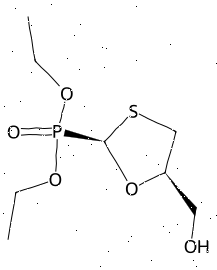 CCOP(=O)(OCC)[C@@H]1O[C@H](CO)CS1